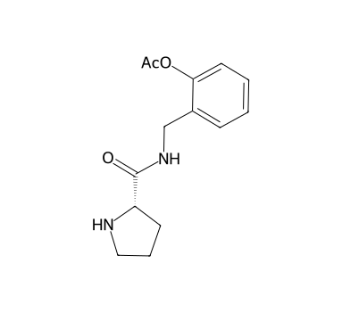 CC(=O)Oc1ccccc1CNC(=O)[C@@H]1CCCN1